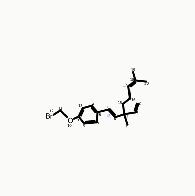 C=CC(C)(/C=C/c1ccc(OCBr)cc1)CCC=C(C)C